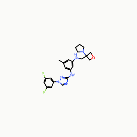 Cc1cc(NCC2(N3CCCC3)COC2)cc(Nc2ncn(-c3cc(F)cc(F)c3)n2)c1